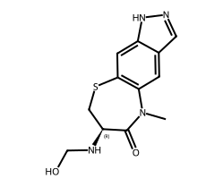 CN1C(=O)[C@@H](NCO)CSc2cc3[nH]ncc3cc21